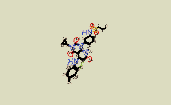 CCCS(=O)(=O)Nc1cccc(-n2c(=O)n(C3CC3)c(=O)c3c(Nc4ccc(C)cc4F)cc(=O)n(C)c32)c1